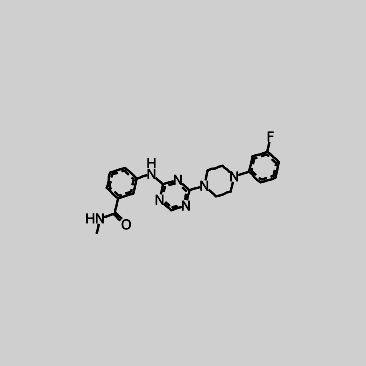 CNC(=O)c1cccc(Nc2ncnc(N3CCN(c4cccc(F)c4)CC3)n2)c1